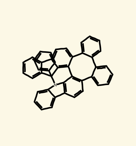 c1ccc(-n2c3ccccc3c3ccc4c(c32)-c2c(ccc3c2Cc2ccccc2-3)-c2ccccc2-c2ccccc2-4)cc1